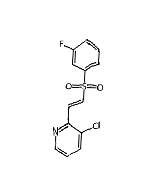 O=S(=O)(C=Cc1ncccc1Cl)c1cccc(F)c1